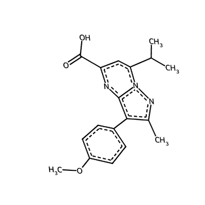 COc1ccc(-c2c(C)nn3c(C(C)C)cc(C(=O)O)nc23)cc1